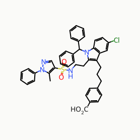 Cc1c(S(=O)(=O)NCCc2c(CCCc3ccc(C(=O)O)cc3)c3cc(Cl)ccc3n2C(c2ccccc2)c2ccccc2)cnn1-c1ccccc1